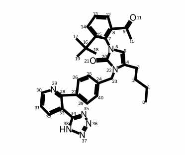 CCCCc1cn(-c2c(C(C)=O)cccc2C(C)(C)C)c(=O)n1Cc1ccc(-c2ncccc2-c2nnn[nH]2)cc1